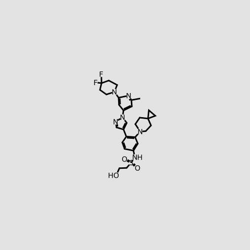 Cc1cc(-n2cc(-c3ccc(NS(=O)(=O)CCO)cc3N3CCC4(CC3)CC4)cn2)cc(N2CCC(F)(F)CC2)n1